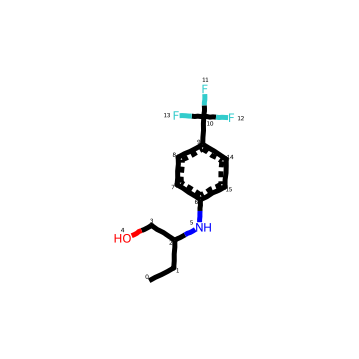 CCC(CO)Nc1ccc(C(F)(F)F)cc1